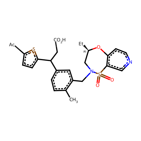 CC[C@@H]1CN(Cc2cc(C(CC(=O)O)c3ccc(C(C)=O)s3)ccc2C)S(=O)(=O)c2cnccc2O1